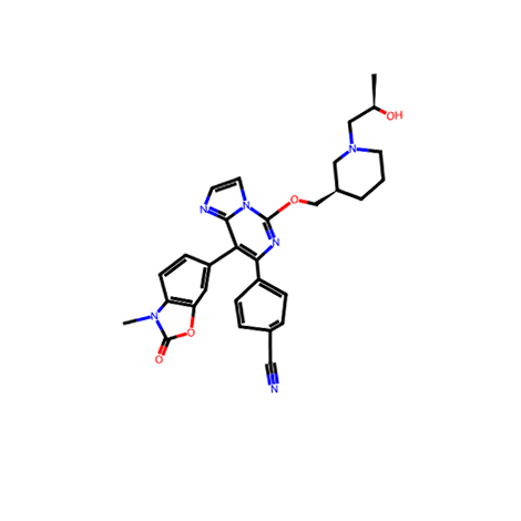 C[C@@H](O)CN1CCC[C@@H](COc2nc(-c3ccc(C#N)cc3)c(-c3ccc4c(c3)oc(=O)n4C)c3nccn23)C1